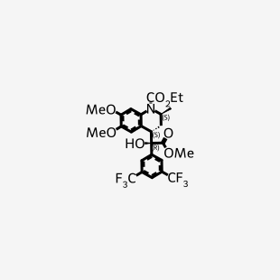 CCOC(=O)N1c2cc(OC)c(OC)cc2[C@@H]([C@](O)(C(=O)OC)c2cc(C(F)(F)F)cc(C(F)(F)F)c2)C[C@@H]1C